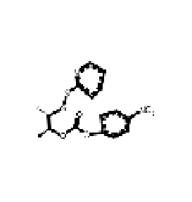 C[C@H](OC(=O)Oc1ccc([N+](=O)[O-])cc1)[C@H](C)SSc1ccccn1